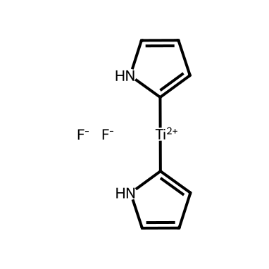 [F-].[F-].c1c[nH][c]([Ti+2][c]2ccc[nH]2)c1